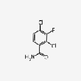 NC(=O)c1ccc(Cl)c(F)c1Cl